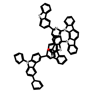 C1=CCC(c2ccc3c(c2)c2cc(-c4ccc5sc6c(-n7c8ccccc8c8ccc9c%10ccccc%10n(-c%10nc(-c%11ccc%12sc%13ccccc%13c%12c%11)cc(-c%11ccc%12sc%13ccccc%13c%12c%11)n%10)c9c87)cccc6c5c4)ccc2n3-c2ccccc2)C=C1